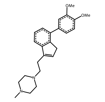 COc1ccc(-c2cccc3c2CC=C3CCN2CCN(C)CC2)cc1OC